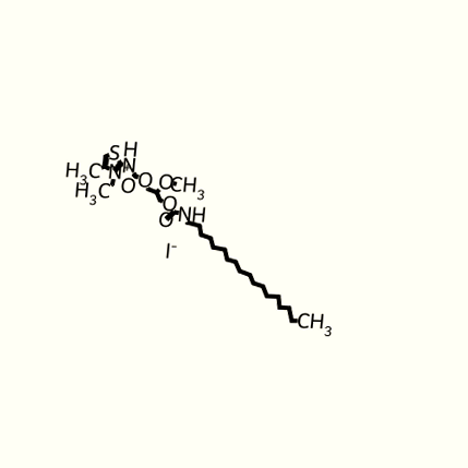 CCCCCCCCCCCCCCCCCCNC(=O)OCC(COC(=O)Nc1scc(C)[n+]1CC)OC.[I-]